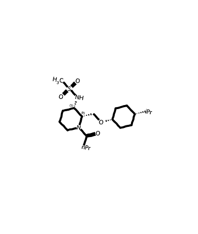 CCCC(=O)N1CCC[C@H](NS(C)(=O)=O)[C@@H]1CO[C@H]1CC[C@@H](C(C)C)CC1